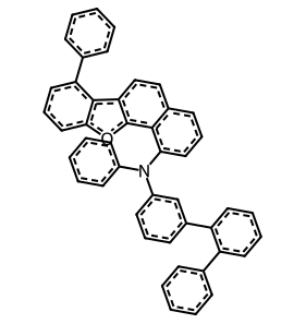 c1ccc(-c2ccccc2-c2cccc(N(c3ccccc3)c3cccc4ccc5c(oc6cccc(-c7ccccc7)c65)c34)c2)cc1